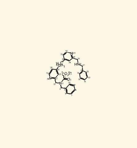 CCOC(=O)C(=O)N(Cc1ccccc1)Cc1cc(C)ccn1.Cc1ccnc(CNCc2ccccc2)c1